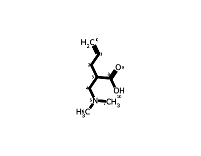 C=CCC(CN(C)C)C(=O)O